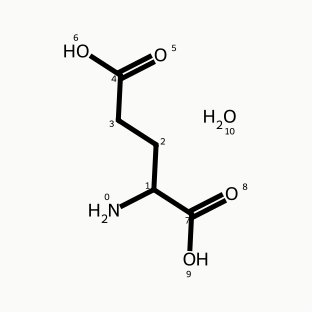 NC(CCC(=O)O)C(=O)O.O